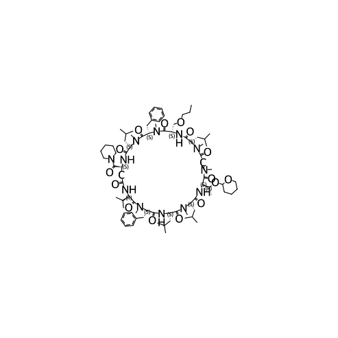 CCCOC[C@@H]1NC(=O)[C@H](CC(C)C)N(C)C(=O)CN(C)C(=O)[C@H]([C@@H](C)OC2CCCCO2)NC(=O)[C@H](CC(C)C)N(C)C(=O)[C@H](CC(C)C)NC(=O)[C@H](Cc2ccccc2)N(C)C(=O)[C@@H](C(C)C)NC(=O)C[C@@H](C(=O)N2CCCCC2)NC(=O)[C@H](CC(C)C)N(C)C(=O)[C@H](Cc2ccccc2)N(C)C1=O